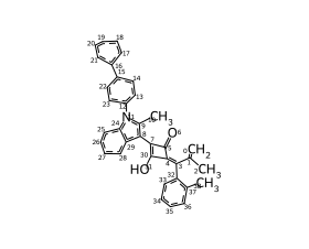 C=C(C)/C(=C1\C(=O)C(c2c(C)n(-c3ccc(-c4ccccc4)cc3)c3ccccc23)=C1O)c1ccccc1C